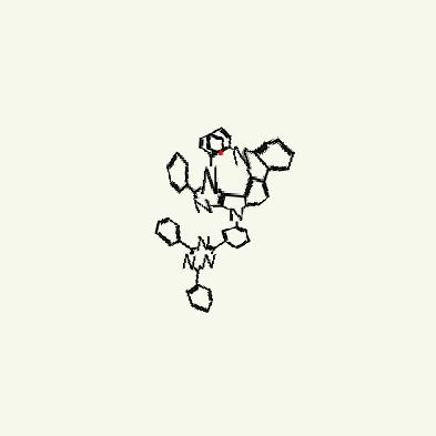 c1ccc(-c2nc(-c3ccccc3)nc(-c3cccc(-n4c5ccc6c7ccccc7n(-c7ccccc7)c6c5c5c4nc(-c4ccccc4)n5-c4ccccc4)c3)n2)cc1